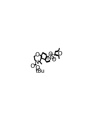 Cc1cc(S(=O)(=O)n2ccc3c4c(ccc32)OCCN(C(=O)OC(C)(C)C)C4C)c(C)o1